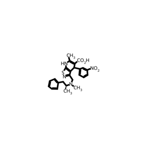 CC1=C(C(=O)O)C(c2cccc([N+](=O)[O-])c2)c2c(CN(C)[C@@H](C)Cc3ccccc3)nsc2N1